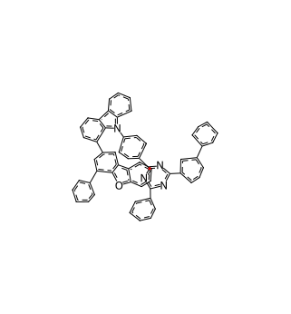 c1ccc(-c2cccc(-c3nc(-c4ccccc4)nc(-c4ccc(-n5c6ccccc6c6cccc(-c7cc(-c8ccccc8)c8oc9ccccc9c8c7)c65)cc4)n3)c2)cc1